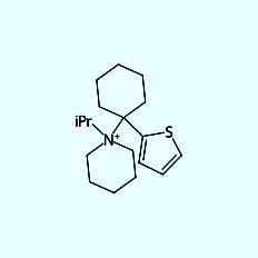 CC(C)[N+]1(C2(c3cccs3)CCCCC2)CCCCC1